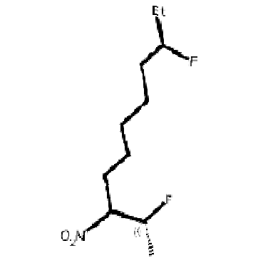 CCC(F)CCCCCC([C@@H](C)F)[N+](=O)[O-]